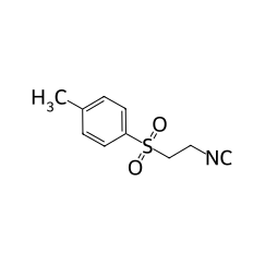 [C-]#[N+]CCS(=O)(=O)c1ccc(C)cc1